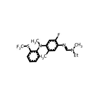 CCN(C)C=Nc1cc(C)c(N(C)c2ccccc2SC(F)(F)F)cc1F